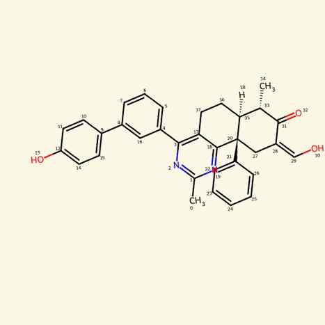 Cc1nc(-c2cccc(-c3ccc(O)cc3)c2)c2c(n1)[C@@]1(c3ccccc3)C/C(=C/O)C(=O)[C@@H](C)[C@@H]1CC2